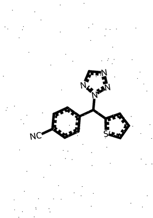 N#Cc1ccc(C(c2cccs2)n2ncnn2)cc1